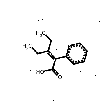 CCC(CC)=C(C(=O)O)c1ccccc1